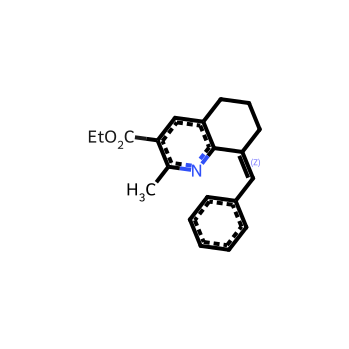 CCOC(=O)c1cc2c(nc1C)/C(=C\c1ccccc1)CCC2